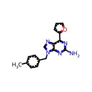 Cc1ccc(Cn2cnc3c(-c4ccco4)nc(N)nc32)cc1